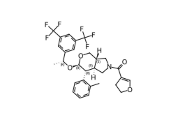 Cc1ccccc1[C@@H]1[C@@H](O[C@H](C)c2cc(C(F)(F)F)cc(C(F)(F)F)c2)OC[C@@H]2CN(C(=O)C3=COCC3)C[C@H]21